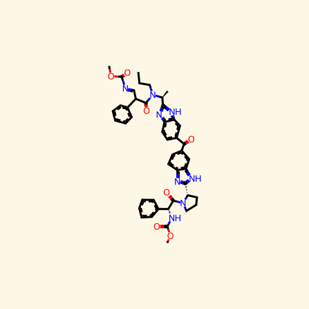 CCCN(C(=O)C(/C=N/C(=O)OC)c1ccccc1)[C@@H](C)c1nc2ccc(C(=O)c3ccc4nc([C@@H]5CCCN5C(=O)[C@H](NC(=O)OC)c5ccccc5)[nH]c4c3)cc2[nH]1